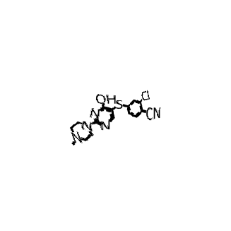 CN1CCN(c2ncc(Sc3ccc(C#N)c(Cl)c3)c(O)n2)CC1